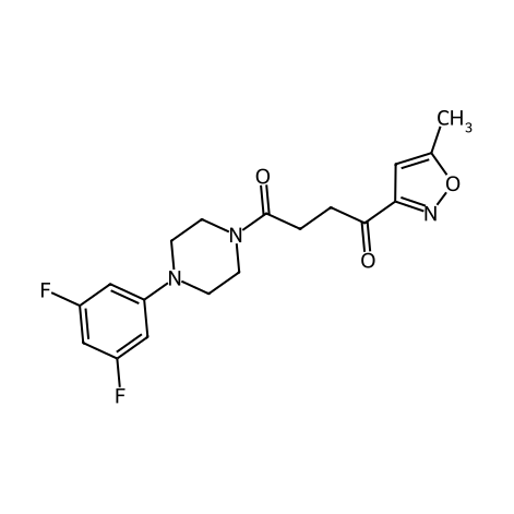 Cc1cc(C(=O)CCC(=O)N2CCN(c3cc(F)cc(F)c3)CC2)no1